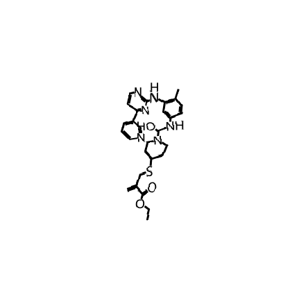 C=C(CSC1CCN(C(O)Nc2ccc(C)c(Nc3nccc(-c4cccnc4)n3)c2)CC1)C(=O)OCC